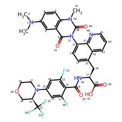 CN(C)c1ccc2c(c1)c(=O)n(-c1ccc(C[C@H](NC(=O)c3c(F)cc(N4CCOC[C@@H]4C(F)(F)F)cc3F)C(=O)O)c3cccnc13)c(=O)n2C